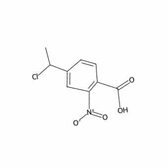 CC(Cl)c1ccc(C(=O)O)c([N+](=O)[O-])c1